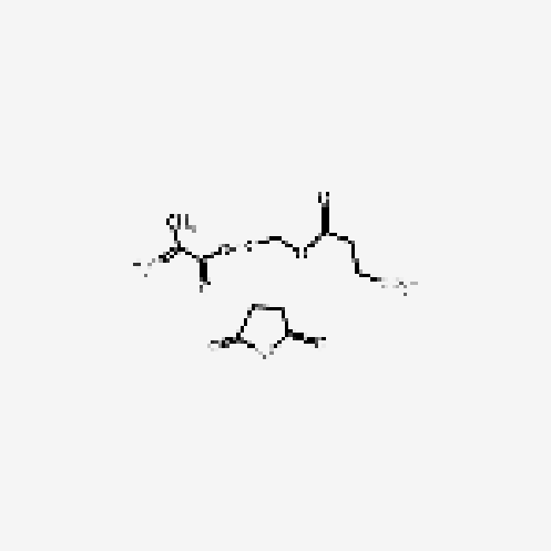 C=C(C)C(=O)OCCOC(=O)CCC(=O)O.O=C1CCC(=O)O1